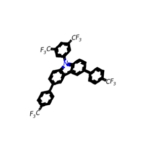 FC(F)(F)c1ccc(-c2ccc3c(c2)c2cc(-c4ccc(C(F)(F)F)cc4)ccc2n3-c2cc(C(F)(F)F)cc(C(F)(F)F)c2)cc1